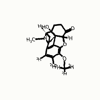 [2H]c1c([2H])c(OC([2H])([2H])[2H])c2c3c1C[C@H]1N(C)CC[C@@]34C([2H])(O2)C(=O)CC[C@@]14O